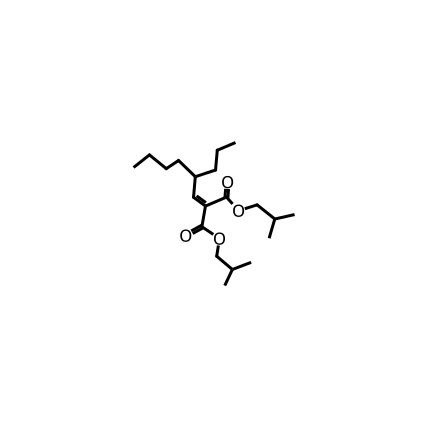 CCCCC(C=C(C(=O)OCC(C)C)C(=O)OCC(C)C)CCC